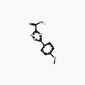 COc1ccc(-c2nnc(C(N)=O)o2)cc1